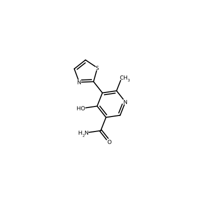 Cc1ncc(C(N)=O)c(O)c1-c1nccs1